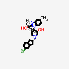 Cc1ccc2c(c1)nc(C(C)(C)O)n2[C@@H]1CCN(C[C@H]2Cc3ccc(Br)cc3C2)C[C@H]1O